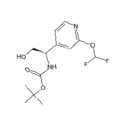 CC(C)(C)OC(=O)N[C@@H](CO)c1ccnc(OC(F)F)c1